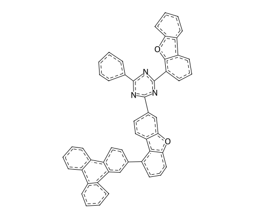 c1ccc(-c2nc(-c3ccc4c(c3)oc3cccc(-c5ccc6c7ccccc7c7ccccc7c6c5)c34)nc(-c3cccc4c3oc3ccccc34)n2)cc1